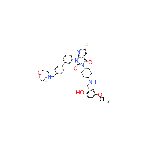 COc1ccc(O)c(CN[C@H]2CC[C@@H](n3c(=O)c4cc(F)cnc4n(-c4cccc(-c5ccc(CN6CCCOCC6)cc5)c4)c3=O)CC2)c1